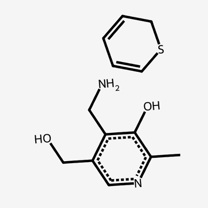 C1=CCSC=C1.Cc1ncc(CO)c(CN)c1O